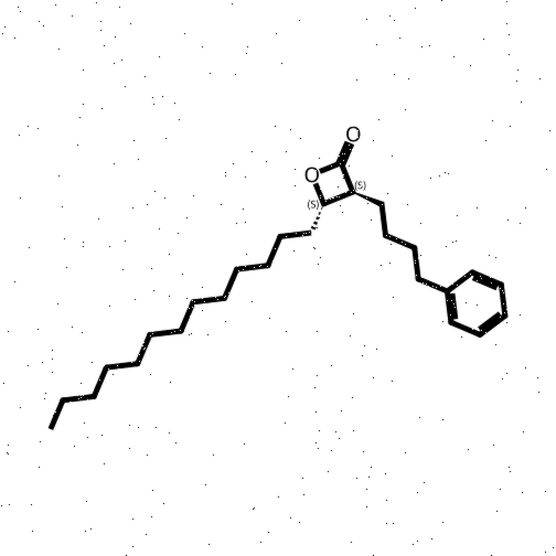 CCCCCCCCCCCCC[C@@H]1OC(=O)[C@H]1CCCCc1ccccc1